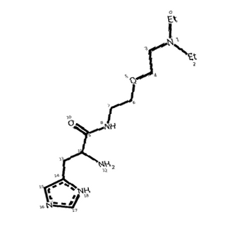 CCN(CC)CCOCCNC(=O)C(N)Cc1cnc[nH]1